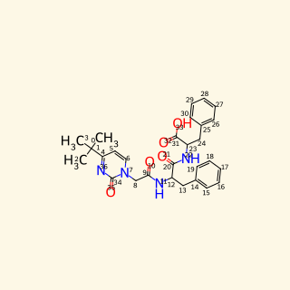 CC(C)(C)c1ccn(CC(=O)NC(Cc2ccccc2)C(=O)NC(Cc2ccccc2)C(=O)O)c(=O)n1